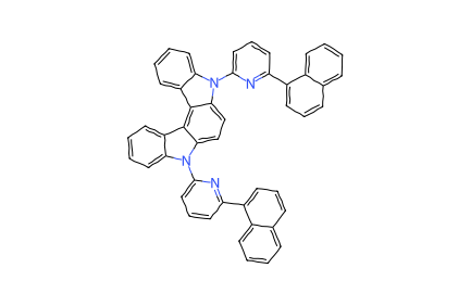 c1cc(-c2cccc3ccccc23)nc(-n2c3ccccc3c3c4c5ccccc5n(-c5cccc(-c6cccc7ccccc67)n5)c4ccc32)c1